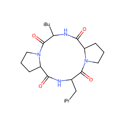 CCC(C)C1NC(=O)C2CCCN2C(=O)C(CC(C)C)NC(=O)C2CCCN2C1=O